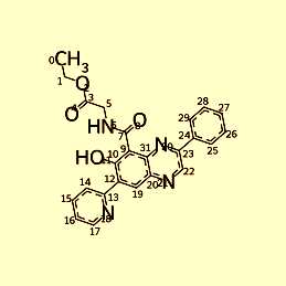 CCOC(=O)CNC(=O)c1c(O)c(-c2ccccn2)cc2ncc(-c3ccccc3)nc12